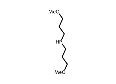 COCCCPCCCOC